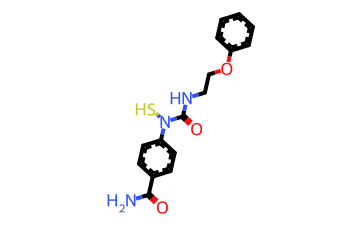 NC(=O)c1ccc(N(S)C(=O)NCCOc2ccccc2)cc1